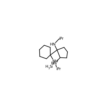 CC(C)NC1CCCC1(NC(C)C)C1(N[SiH3])CCCCC1